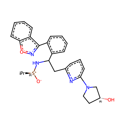 CC(C)[S@+]([O-])NC(Cc1cccc(N2CC[C@@H](O)C2)n1)c1ccccc1-c1noc2ccccc12